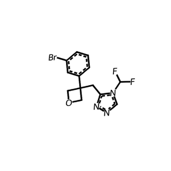 FC(F)n1cnnc1CC1(c2cccc(Br)c2)COC1